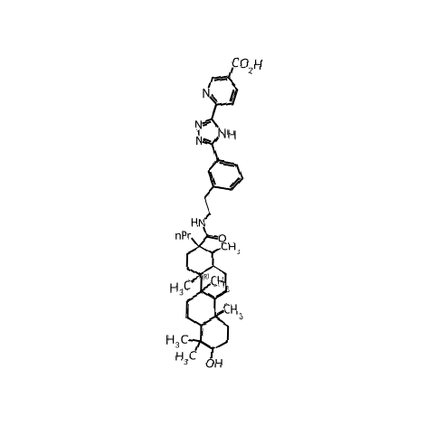 CCCC1(C(=O)NCCc2cccc(-c3nnc(-c4ccc(C(=O)O)cn4)[nH]3)c2)CC[C@]2(C)C(CCC3C4(C)CCC(O)C(C)(C)C4CCC32C)C1C